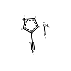 CF.N#Cc1cc[nH]c1